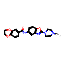 CN1CCN(c2nc3cc(NC(=O)c4ccc5c(c4)OCCO5)ccc3o2)CC1